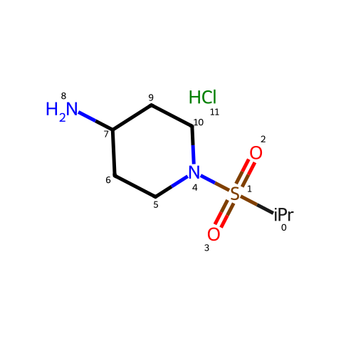 CC(C)S(=O)(=O)N1CCC(N)CC1.Cl